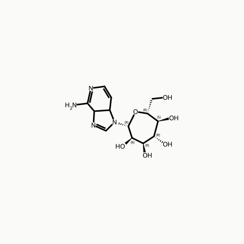 NC1=NC=CC2C1N=CN2[C@@H]1O[C@H](CO)[C@@H](O)[C@H](O)[C@@H](O)[C@H]1O